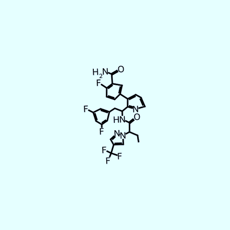 CCC(C(=O)NC(Cc1cc(F)cc(F)c1)c1ncccc1-c1ccc(F)c(C(N)=O)c1)n1cc(C(F)(F)F)cn1